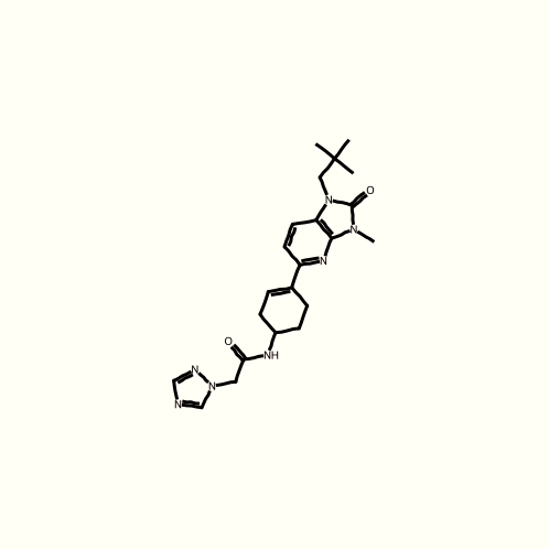 Cn1c(=O)n(CC(C)(C)C)c2ccc(C3=CCC(NC(=O)Cn4cncn4)CC3)nc21